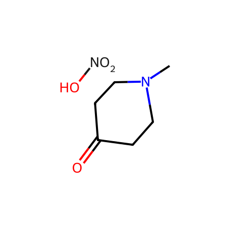 CN1CCC(=O)CC1.O=[N+]([O-])O